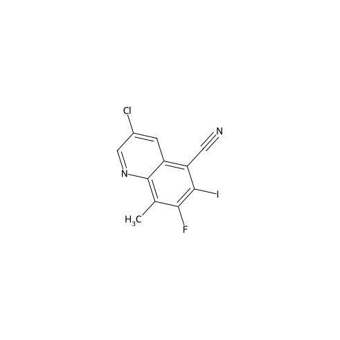 Cc1c(F)c(I)c(C#N)c2cc(Cl)cnc12